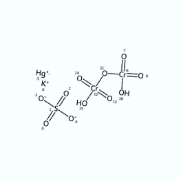 O=S(=O)([O-])[O-].[Hg+].[K+].[O]=[Cr](=[O])([OH])[O][Cr](=[O])(=[O])[OH]